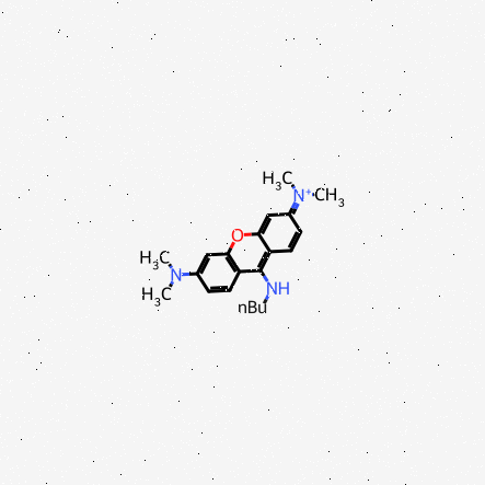 CCCCNc1c2ccc(=[N+](C)C)cc-2oc2cc(N(C)C)ccc12